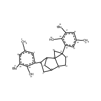 Cc1cc(C2CC3CC2C24CC2(c2cc(C)cc(C(C)(C)C)c2O)CCC34)c(O)c(C(C)(C)C)c1